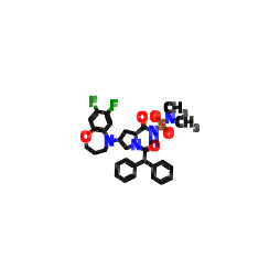 CN(C)S(=O)(=O)NC(=O)[C@@H]1C[C@H](N2CCCOc3cc(F)c(F)cc32)CN1C(=O)C(c1ccccc1)c1ccccc1